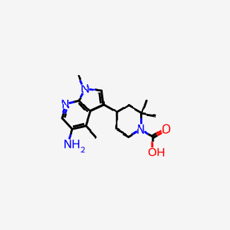 Cc1c(N)cnc2c1c(C1CCN(C(=O)O)C(C)(C)C1)cn2C